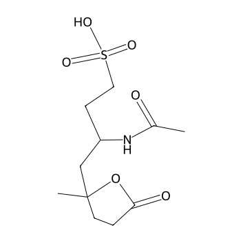 CC(=O)NC(CCS(=O)(=O)O)CC1(C)CCC(=O)O1